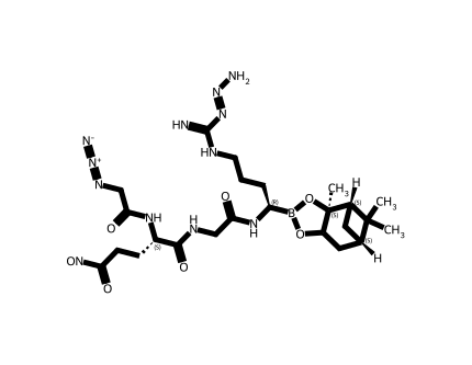 CC1(C)[C@@H]2CC3OB([C@H](CCCNC(=N)N=NN)NC(=O)CNC(=O)[C@H](CCC(=O)N=O)NC(=O)CN=[N+]=[N-])O[C@@]3(C)[C@H]1C2